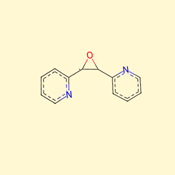 c1ccc([C]2OC2c2ccccn2)nc1